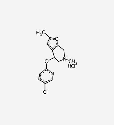 Cc1cc2c(o1)CN(C)CC2Oc1ccc(Cl)cn1.Cl